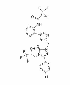 O=C(Nc1cccnc1-n1cnc(Cn2nc(-c3ccc(Cl)cc3)n(C[C@H](O)C(F)(F)F)c2=O)n1)C1CC1(F)F